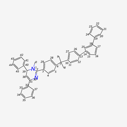 CN1C(c2ccc(C(C)(C)c3ccc(-c4cccc(-c5ccccc5)c4)cc3)cc2)=NC(c2ccccc2)=CC1c1ccccc1